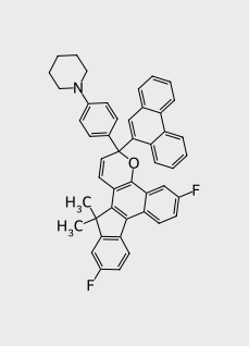 CC1(C)c2cc(F)ccc2-c2c1c1c(c3cc(F)ccc23)OC(c2ccc(N3CCCCC3)cc2)(c2cc3ccccc3c3ccccc23)C=C1